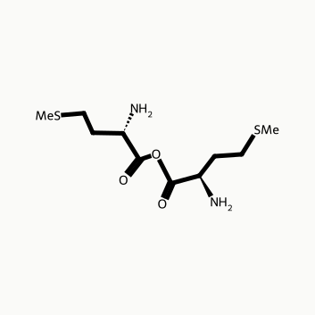 CSCC[C@@H](N)C(=O)OC(=O)[C@@H](N)CCSC